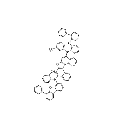 Cc1cccc(N(c2cc3oc4cc(N(c5ccccc5C)c5cccc6c5oc5c(-c7ccccc7)cccc56)c5ccccc5c4c3c3ccccc23)c2cccc3c2oc2c(-c4ccccc4)cccc23)c1